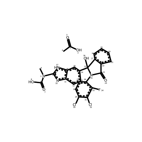 CC(=O)O.CN(C(=O)O)c1nc2ccc(C3(O)c4ccccc4C(=O)N3c3ccc(Cl)c(Cl)c3F)cc2[nH]1